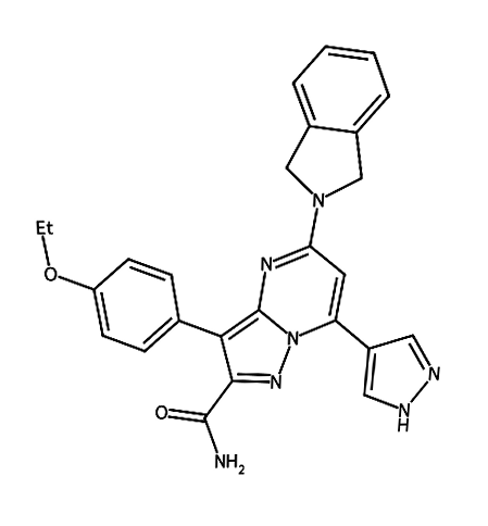 CCOc1ccc(-c2c(C(N)=O)nn3c(-c4cn[nH]c4)cc(N4Cc5ccccc5C4)nc23)cc1